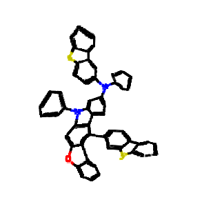 c1ccc(N(c2ccc3sc4ccccc4c3c2)c2ccc3c4c(-c5ccc6c(c5)sc5ccccc56)c5c(cc4n(-c4ccccc4)c3c2)oc2ccccc25)cc1